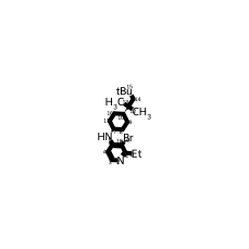 CCc1nccc(N[C@H]2CC[C@@H](C(C)(C)CC(C)(C)C)CC2)c1Br